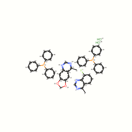 Cc1ncnc2c(F)cccc12.Cc1ncnc2cc3c(cc12)OCO3.Cl.Cl.c1ccc(P(c2ccccc2)c2ccccc2)cc1.c1ccc(P(c2ccccc2)c2ccccc2)cc1